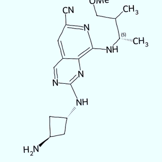 COCC(C)[C@H](C)Nc1nc(C#N)cc2cnc(N[C@H]3C[C@H](N)C3)nc12